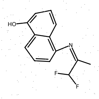 CC(=Nc1cccc2c(O)cccc12)C(F)F